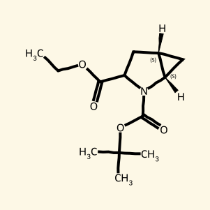 CCOC(=O)C1C[C@@H]2C[C@@H]2N1C(=O)OC(C)(C)C